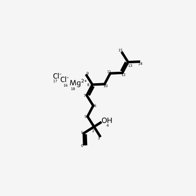 C=CC(C)(O)CCC=C(C)CCC=C(C)C.[Cl-].[Cl-].[Mg+2]